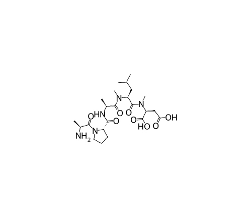 CC(C)C[C@@H](C(=O)N(C)[C@@H](CC(=O)O)C(=O)O)N(C)C(=O)[C@H](C)NC(=O)[C@@H]1CCCN1C(=O)[C@H](C)N